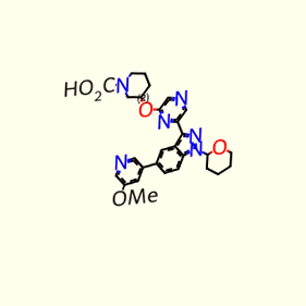 COc1cncc(-c2ccc3c(c2)c(-c2cncc(O[C@@H]4CCCN(C(=O)O)C4)n2)nn3C2CCCCO2)c1